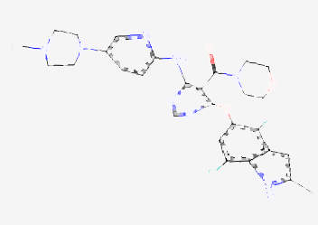 CCN1CCN(c2ccc(Nc3ncnc(Oc4cc(F)c5[nH]c(C)cc5c4F)c3C(=O)N3CCOCC3)nc2)CC1